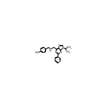 CC(C)n1cnc2c(CNCc3ccc(O)cc3)nc(-c3cccnc3)nc21